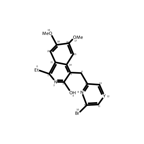 CCc1nc(O)c(CC2=NC(Br)=[CH][Y]=[CH]2)c2cc(OC)c(OC)cc12